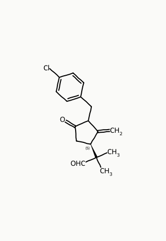 C=C1C(Cc2ccc(Cl)cc2)C(=O)C[C@@H]1C(C)(C)C=O